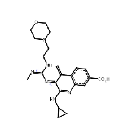 C=C1/C(=N\C(=N/C)NCCN2CCOCC2)C(NC2CC2)=Nc2cc(C(=O)O)ccc21